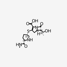 CNC(=O)[C@@H]1CC[C@H](SC2=C(C(=O)O)N3C(=O)[C@H]([C@@H](C)O)[C@H]3C2)CN1